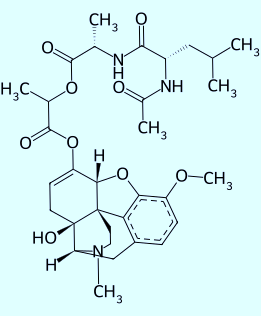 COc1ccc2c3c1O[C@H]1C(OC(=O)C(C)OC(=O)[C@H](C)NC(=O)[C@H](CC(C)C)NC(C)=O)=CC[C@@]4(O)[C@@H](C2)N(C)CC[C@]314